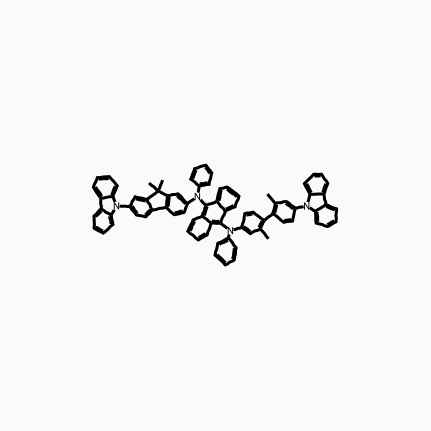 Cc1cc(N(c2ccccc2)c2c3ccccc3c(N(c3ccccc3)c3ccc4c(c3)C(C)(C)c3cc(-n5c6ccccc6c6ccccc65)ccc3-4)c3ccccc23)ccc1-c1ccc(-n2c3ccccc3c3ccccc32)cc1C